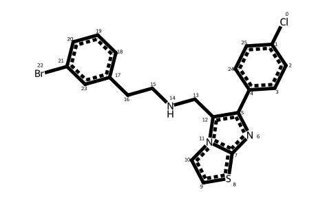 Clc1ccc(-c2nc3sccn3c2CNCCc2cccc(Br)c2)cc1